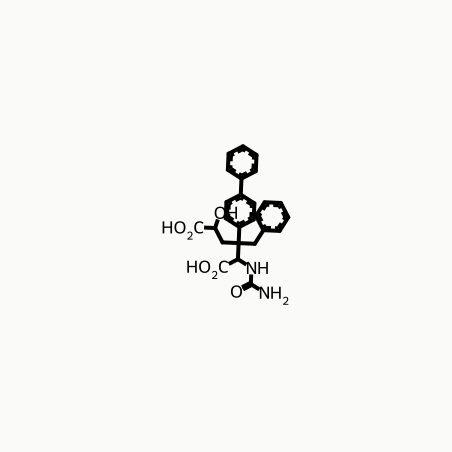 NC(=O)NC(C(=O)O)C(Cc1ccccc1)(CC(O)C(=O)O)c1ccc(-c2ccccc2)cc1